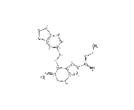 CCOC(=N)c1cc2c(s1)SCC(=O)N2CCc1ccc2c(c1)OCO2.Cl